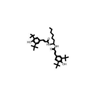 CCCCCCC(NC(=O)C=Cc1cc(C(C)(C)C)c(O)c(C(C)(C)C)c1)NC(=O)C=Cc1cc(C(C)(C)C)c(O)c(C(C)(C)C)c1